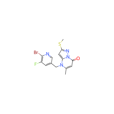 CSc1cc2n(Cc3cnc(Br)c(F)c3)c(C)cc(=O)n2n1